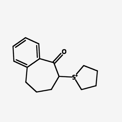 O=C1c2ccccc2CCCC1[S+]1CCCC1